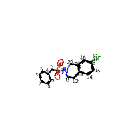 O=S(=O)(Cc1ccccc1)N1CCc2ccc(Br)cc2C1